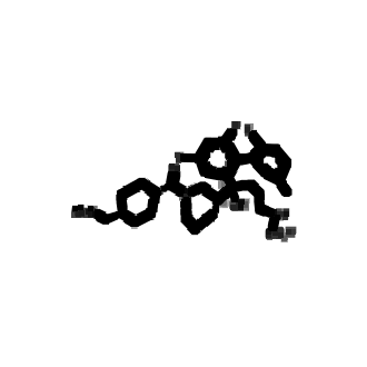 CNC[C@H]1CC[C@H](C(=O)N2CCC[C@@H]([C@@](O)(CCCNC(=O)O)c3cc(F)cc(F)c3-c3cc(C)ccc3F)C2)CC1